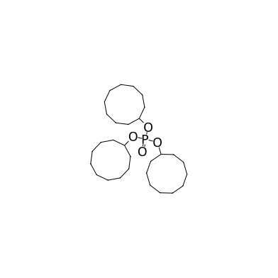 O=P(OC1CCCCCCCCC1)(OC1CCCCCCCCC1)OC1CCCCCCCCC1